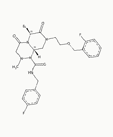 CCC(C)[C@H]1C(=O)N(CCOCc2ccccc2F)C[C@H]2N1C(=O)CN(C)N2C(=O)NCc1ccc(F)cc1